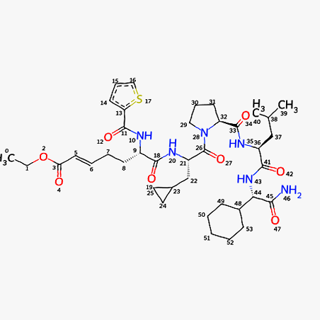 CCOC(=O)/C=C/CC[C@H](NC(=O)c1cccs1)C(=O)N[C@@H](CC1CC1)C(=O)N1CCC[C@H]1C(=O)N[C@@H](CC(C)C)C(=O)N[C@H](C(N)=O)C1CCCCC1